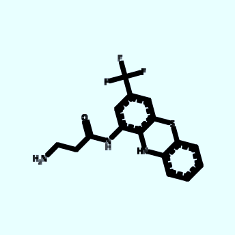 NCCC(=O)Nc1cc(C(F)(F)F)cc2c1Nc1ccccc1S2